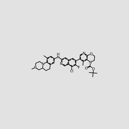 Cc1cc(Nc2cc3cc(-c4cnc5c(c4C)N(C(=O)OC(C)(C)C)CCO5)c(F)c(Cl)c3cn2)cc2c1N1CCN(C)CC1CC2